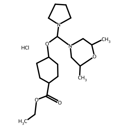 CCOC(=O)C1CCC(OC(N2CCCC2)N2CC(C)OC(C)C2)CC1.Cl